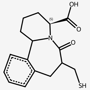 O=C(O)[C@@H]1CCCC2c3ccccc3CC(CS)C(=O)N21